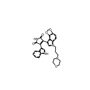 O=C1NC(=O)C(c2cn(CCCN3CCOCC3)c3ccc4c(c23)OCO4)=C1c1c[nH]c2ccccc12